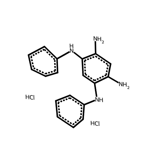 Cl.Cl.Nc1cc(N)c(Nc2ccccc2)cc1Nc1ccccc1